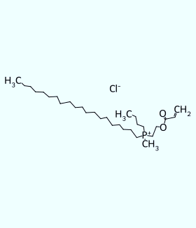 C=CC(=O)OCC[P+](C)(CCCC)CCCCCCCCCCCCCCCCCCCC.[Cl-]